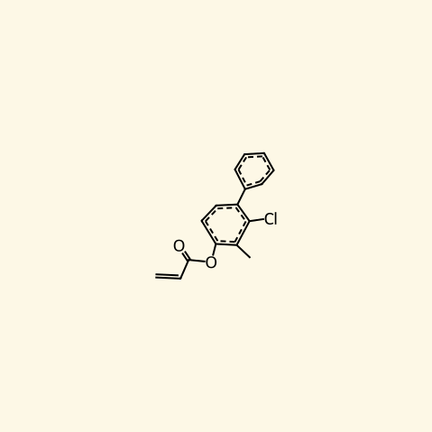 C=CC(=O)Oc1ccc(-c2ccccc2)c(Cl)c1C